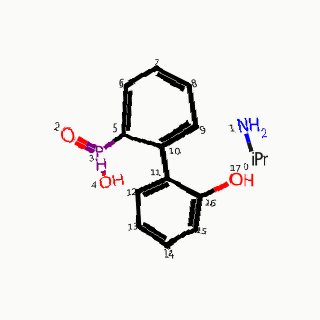 CC(C)N.O=[PH](O)c1ccccc1-c1ccccc1O